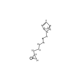 C1=CC2CC1CC2CCCCCCC1CO1